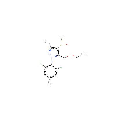 N#CCOCc1c([S+]([O-])C(F)(F)F)c(C#N)nn1-c1c(Cl)cc(C(F)(F)F)cc1Cl